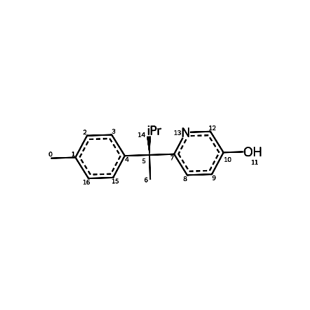 Cc1ccc([C@@](C)(c2ccc(O)cn2)C(C)C)cc1